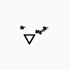 C1CC1.[Br-].[Br-].[Mg+2]